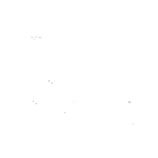 COCCCNc1cc(OCc2ccccc2)ccc1C#N